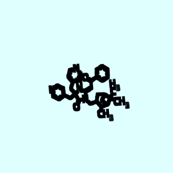 CC1C(CN2C(=O)C(Cc3ccncc3)(Cc3ccncc3)NC2=CC(=O)c2ccccc2)CC2CC1C2(C)C